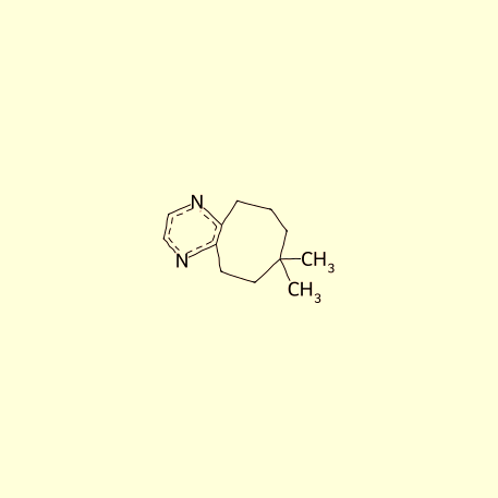 CC1(C)CCCc2nccnc2CC1